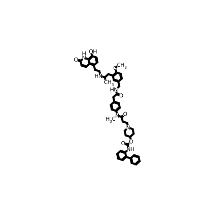 COc1ccc(CNC(=O)Cc2ccc(N(C)C(=O)CCN3CCC(OC(=O)Nc4ccccc4-c4ccccc4)CC3)cc2)cc1CC(C)NCCc1ccc(O)c2[nH]c(=O)ccc12